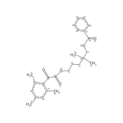 Cc1cc(C)c(C(=O)C(=O)OCCCC(C)(C)COC(=O)c2ccccc2)c(C)c1